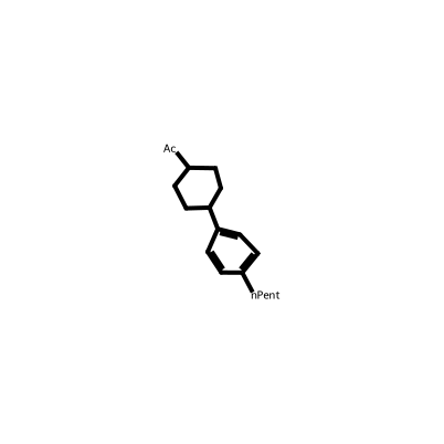 CCCCCc1ccc(C2CCC(C(C)=O)CC2)cc1